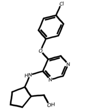 OCC1CCCC1Nc1ncncc1Oc1ccc(Cl)cc1